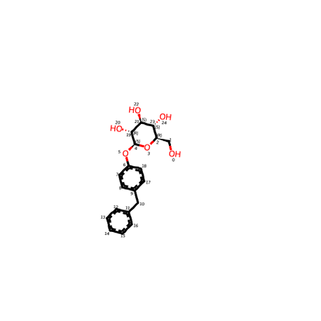 OC[C@H]1O[C@@H](Oc2ccc(Cc3ccccc3)cc2)[C@H](O)[C@@H](O)[C@@H]1O